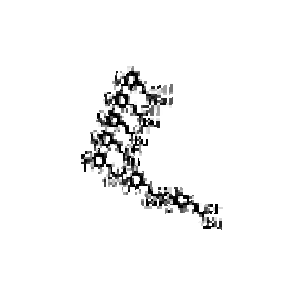 CC(C)(C)C(O)C=Cc1ccc2c(c1)OCO2.CC(C)(C)C(O)C=Cc1ccc2c(c1)OCO2.CC(C)(C)C(O)C=Cc1ccc2c(c1)OCO2.CC(C)(C)C(O)C=Cc1ccc2c(c1)OCO2.CC(C)(C)C(O)C=Cc1ccc2c(c1)OCO2.CC(C)(C)C(O)C=Cc1ccc2c(c1)OCO2.CC(C)(C)C(O)C=Cc1ccc2c(c1)OCO2